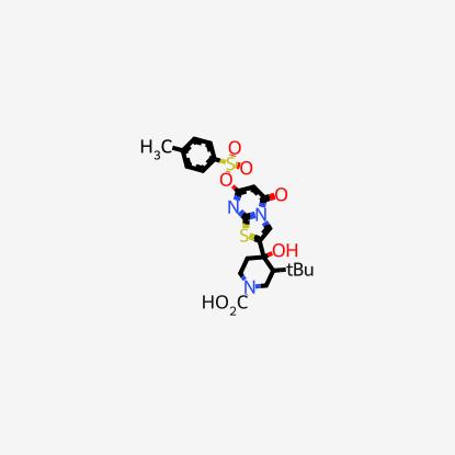 Cc1ccc(S(=O)(=O)Oc2cc(=O)n3cc(C4(O)CCN(C(=O)O)CC4C(C)(C)C)sc3n2)cc1